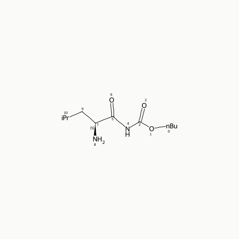 CCCCOC(=O)NC(=O)[C@@H](N)CC(C)C